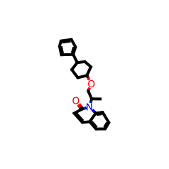 CC(COC1CCC(c2ccccc2)CC1)n1c(=O)ccc2ccccc21